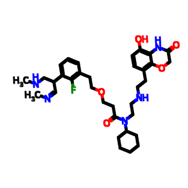 C/N=C\C(CNC)c1cccc(CCOCCC(=O)N(CCNCCc2ccc(O)c3c2OCC(=O)N3)C2CCCCC2)c1F